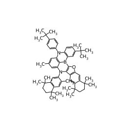 Cc1cc2c3c(c1)N(c1cc4c(cc1C)C(C)(C)CCC4(C)C)c1c(oc4cc5c(cc14)C(C)(C)CCC5(C)C)B3c1cc(C(C)(C)C)ccc1N2c1ccc(C(C)(C)C)cc1